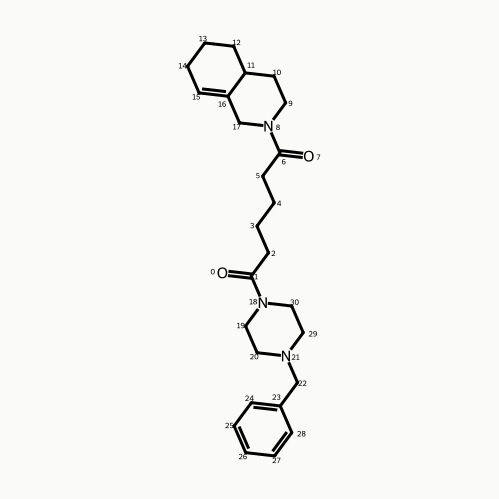 O=C(CCCCC(=O)N1CCC2CCCC=C2C1)N1CCN(Cc2ccccc2)CC1